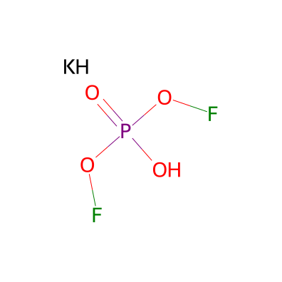 O=P(O)(OF)OF.[KH]